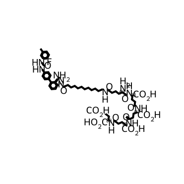 Cc1ccc(F)c(NC(=O)Nc2ccc(-c3cccc4c3c(N)nn4C(=O)CCCCCCCCCCCNC(=O)CCC[C@H](N)C(=O)N[C@@H](CCC(=O)N[C@@H](CCC(=O)N[C@@H](CCC(=O)N[C@@H](CCC(=O)O)C(=O)O)C(=O)O)C(=O)O)C(=O)O)cc2)c1